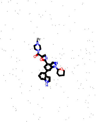 CC(C)N1CCN(C(=O)c2cnc(-c3cc(-c4cccc5[nH]ccc45)cc4c3cnn4C3CCCCO3)o2)CC1